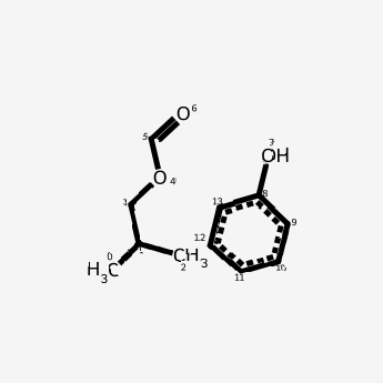 CC(C)COC=O.Oc1ccccc1